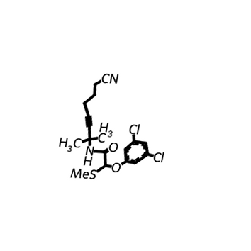 CSC(Oc1cc(Cl)cc(Cl)c1)C(=O)NC(C)(C)C#CCCCC#N